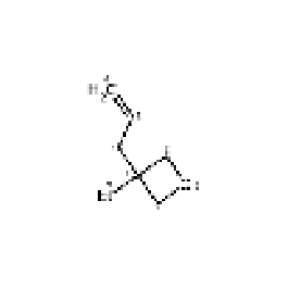 C=CCC1(CC)COC1